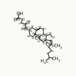 CC(C)CCC[C@@H](C)[C@H]1CCC2C3CC=C4C[C@@H](NC(=O)CCC(=O)O)CC[C@]4(C)C3CC[C@@]21C